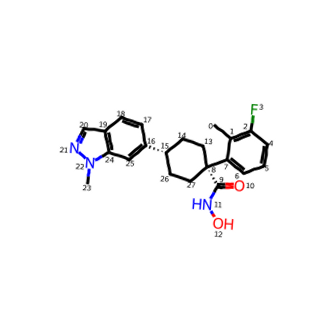 Cc1c(F)cccc1[C@]1(C(=O)NO)CC[C@@H](c2ccc3cnn(C)c3c2)CC1